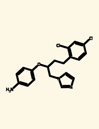 Nc1ccc(OC(CCc2ccc(Cl)cc2Cl)Cn2ccnc2)cc1